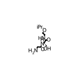 CC(C)OCCNC(=O)[C@H](CO)NC(=O)CN